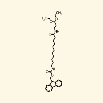 CCOC(CCNC(=O)CCCCCCCCCCNC(=O)OCC1c2ccccc2-c2ccccc21)OCC